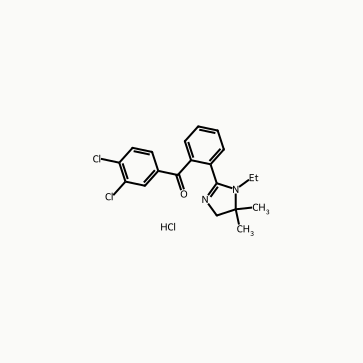 CCN1C(c2ccccc2C(=O)c2ccc(Cl)c(Cl)c2)=NCC1(C)C.Cl